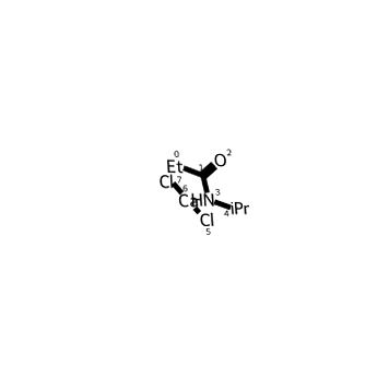 CCC(=O)NC(C)C.[Cl][Ca][Cl]